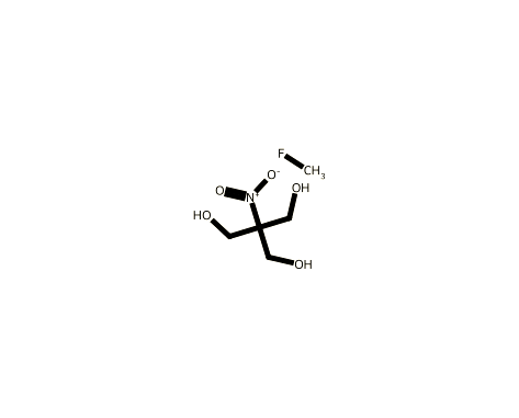 CF.O=[N+]([O-])C(CO)(CO)CO